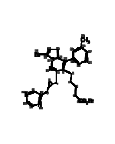 CCOC(=O)CCCCc1c(COCc2cnccn2)nn2c(CC)ccc2c1-c1cncc(C)c1